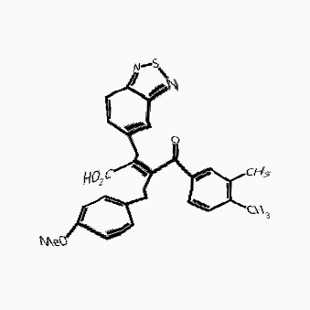 COc1ccc(CC(C(=O)c2ccc(C)c(C)c2)=C(C(=O)O)c2ccc3nsnc3c2)cc1